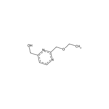 CCOCc1nccc(CO)n1